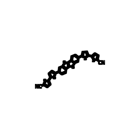 N#Cc1ccc(-c2ccc(-c3ccc4c(c3)sc3c5ccc(-c6ccc(-c7ccc(C#N)s7)s6)cc5sc43)s2)s1